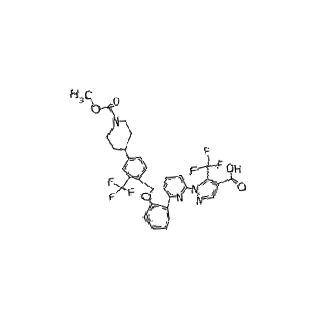 COC(=O)N1CCC(c2ccc(COc3ccccc3-c3cccc(-n4ncc(C(=O)O)c4C(F)(F)F)n3)c(C(F)(F)F)c2)CC1